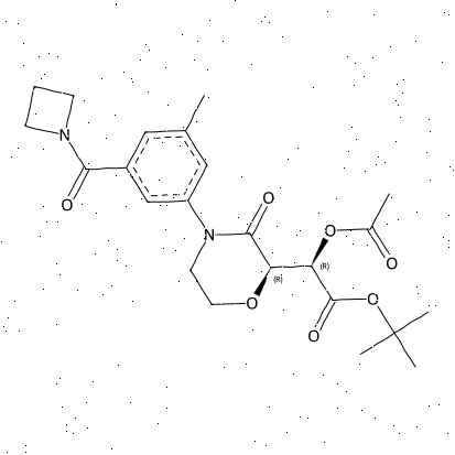 CC(=O)O[C@@H](C(=O)OC(C)(C)C)[C@H]1OCCN(c2cc(C)cc(C(=O)N3CCC3)c2)C1=O